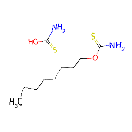 CCCCCCCCOC(N)=S.NC(O)=S